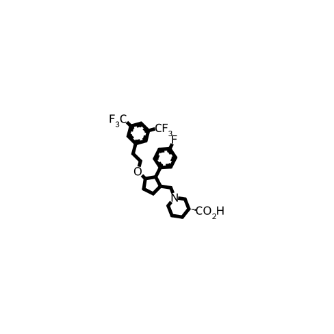 O=C(O)[C@@H]1CCCN(CC2CCC(OCCc3cc(C(F)(F)F)cc(C(F)(F)F)c3)C2c2ccc(F)cc2)C1